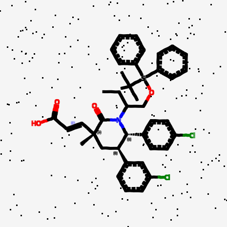 CCC(CO[Si](c1ccccc1)(c1ccccc1)C(C)(C)C)N1C(=O)[C@@](C)(/C=C/C(=O)O)C[C@H](c2cccc(Cl)c2)[C@H]1c1ccc(Cl)cc1